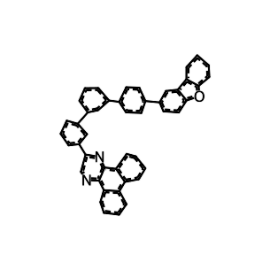 c1cc(-c2ccc(-c3ccc4oc5ccccc5c4c3)cc2)cc(-c2cccc(-c3cnc4c5ccccc5c5ccccc5c4n3)c2)c1